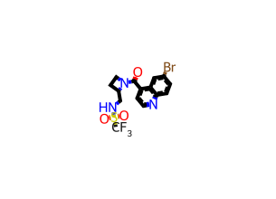 O=C(c1ccnc2ccc(Br)cc12)N1CCC1CNS(=O)(=O)C(F)(F)F